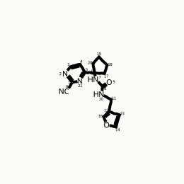 N#Cc1nccc(C2(NC(=O)NCc3ccoc3)CCCC2)n1